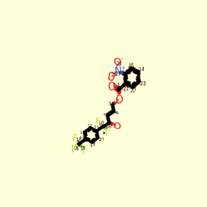 O=C(OC/C=C/C(=O)C(F)(F)c1ccc(C(F)(F)F)cc1)c1ccccc1[N+](=O)[O-]